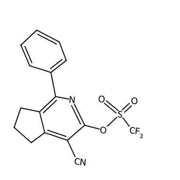 N#Cc1c(OS(=O)(=O)C(F)(F)F)nc(-c2ccccc2)c2c1CCC2